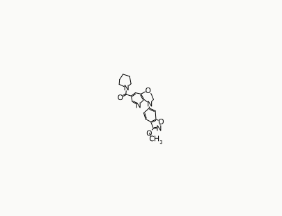 COc1noc2cc(N3CCOc4cc(C(=O)N5CCCCC5)cnc43)ccc12